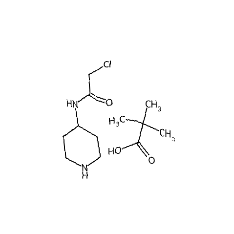 CC(C)(C)C(=O)O.O=C(CCl)NC1CCNCC1